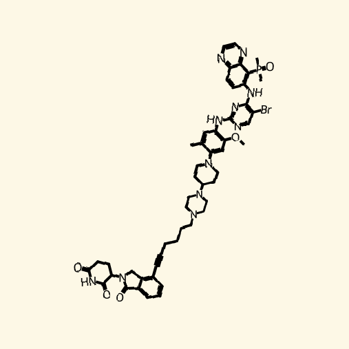 COc1cc(N2CCC(N3CCN(CCCCC#Cc4cccc5c4CN(C4CCC(=O)NC4=O)C5=O)CC3)CC2)c(C)cc1Nc1ncc(Br)c(Nc2ccc3nccnc3c2P(C)(C)=O)n1